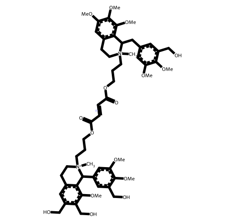 COc1cc(CC2c3c(cc(OC)c(OC)c3OC)CC[N+]2(C)CCCOC(=O)/C=C/C(=O)OCCC[N+]2(C)CCc3cc(CO)c(CO)c(OC)c3C2c2cc(CO)c(OC)c(OC)c2)cc(CO)c1OC